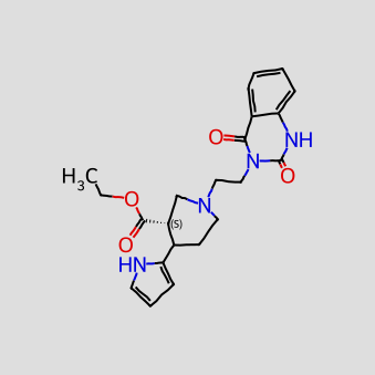 CCOC(=O)[C@@H]1CN(CCn2c(=O)[nH]c3ccccc3c2=O)CCC1c1ccc[nH]1